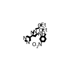 CCOC(Cn1nc(-c2cncnc2)cc1Nc1cc([N+](=O)[O-])ccc1C)OCC